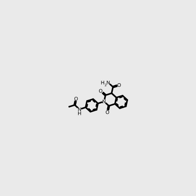 CC(=O)Nc1ccc(N2C(=O)c3ccccc3C(C(N)=O)C2=O)cc1